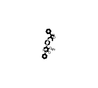 Cc1onc(-c2ccccc2)c1CN1CCN(c2cnn(-c3ccccc3)c(=O)c2OC(C)C)CC1